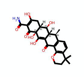 C[C@H]1c2ccc3c(c2C(=O)C2=C(O)[C@]4(O)C(=O)C(C(N)=O)=C(O)C[C@@H]4[C@@H](O)[C@@H]21)OCCC3(C)C